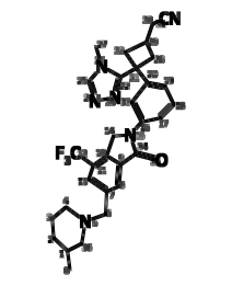 CC1CCCN(Cc2cc3c(c(C(F)(F)F)c2)CN(c2cccc(C4(c5nncn5C)CC(CC#N)C4)c2)C3=O)C1